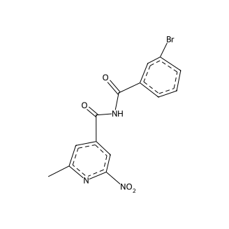 Cc1cc(C(=O)NC(=O)c2cccc(Br)c2)cc([N+](=O)[O-])n1